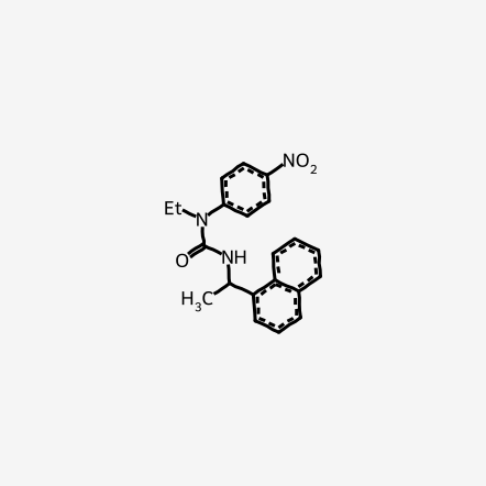 CCN(C(=O)NC(C)c1cccc2ccccc12)c1ccc([N+](=O)[O-])cc1